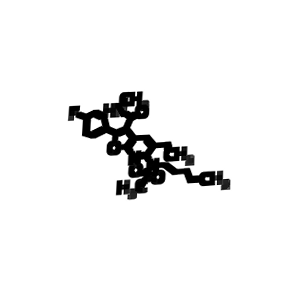 C=CCCCN(c1nc2oc(-c3ccc(F)cc3)c(C(=O)NC)c2cc1C=C)S(C)(=O)=O